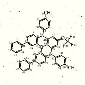 Cc1ccc(N2c3ccc(-c4ccccc4)cc3B3c4cc(-c5ccccc5)ccc4N(c4ccc(C)cc4)c4cc(OC(F)(F)F)cc2c43)cc1